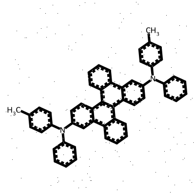 Cc1ccc(N(c2ccccc2)c2ccc3c(c2)c2ccccc2c2c4ccc(N(c5ccccc5)c5ccc(C)cc5)cc4c4ccccc4c32)cc1